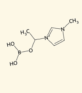 CC(OB(O)O)[n+]1ccn(C)c1